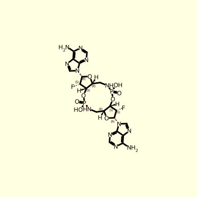 Nc1ncnc2c1ncn2[C@@H]1O[C@@H]2CNP(=O)(O)O[C@@H]3[C@H](F)[C@H](n4cnc5c(N)ncnc54)O[C@@H]3CNP(=O)(O)O[C@@H]2[C@@H]1F